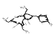 Cc1cc(-c2ccc(Cl)s2)cc2c(N)nc(N)nc12